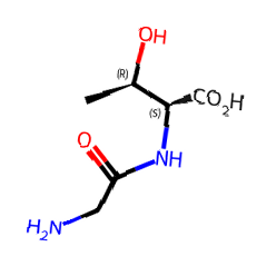 C[C@@H](O)[C@H](NC(=O)CN)C(=O)O